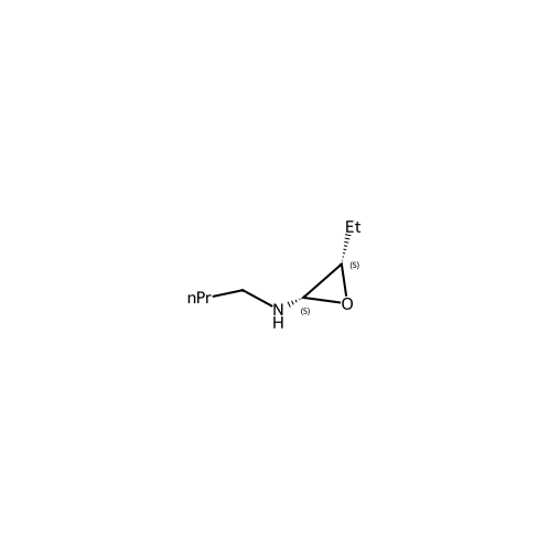 CCCCN[C@H]1O[C@H]1CC